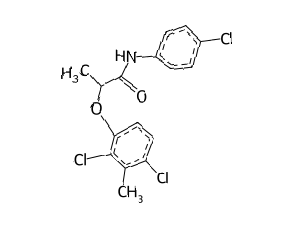 Cc1c(Cl)ccc(OC(C)C(=O)Nc2ccc(Cl)cc2)c1Cl